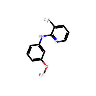 O=[N+]([O-])c1cccnc1Nc1cccc(OC(F)(F)F)c1